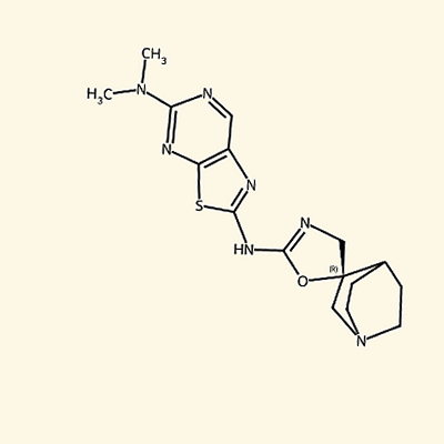 CN(C)c1ncc2nc(NC3=NC[C@@]4(CN5CCC4CC5)O3)sc2n1